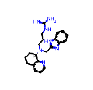 N=C(N)NCCCN(Cc1nc2ccccc2[nH]1)[C@H]1CCCc2cccnc21